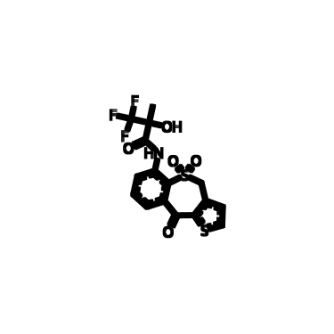 CC(O)(C(=O)Nc1cccc2c1S(=O)(=O)Cc1ccsc1C2=O)C(F)(F)F